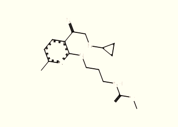 COC(=O)NCCCNc1nc(C)ccc1C(=N)[C@H](C)NC1CC1